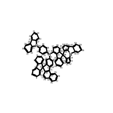 c1ccc2c(c1)-c1ccccc1C21c2cc(N(c3ccc(-n4c5ccccc5c5ccccc54)cc3)c3cccc4c3-c3ccccc3C43c4ccccc4-n4c5ccccc5c5cccc3c54)ccc2-c2c1ccc1ccccc21